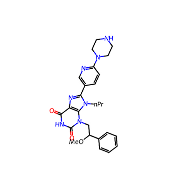 CCCn1c(-c2ccc(N3CCNCC3)nc2)nc2c(=O)[nH]c(=O)n(CC(OC)c3ccccc3)c21